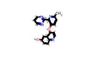 Cc1ccc(Oc2ccnc3ccc(O)cc23)c(-c2ncccn2)n1